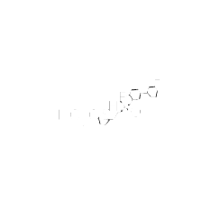 O=C(O)c1ccc(CCCNC(=O)c2cc(-c3cccc(F)c3)ccc2F)s1